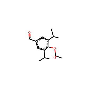 CC(=O)Oc1c(C(C)C)cc(C=O)cc1C(C)C